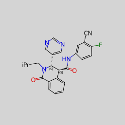 CC(C)CN1C(=O)c2ccccc2[C@H](C(=O)Nc2ccc(F)c(C#N)c2)[C@H]1c1cncnc1